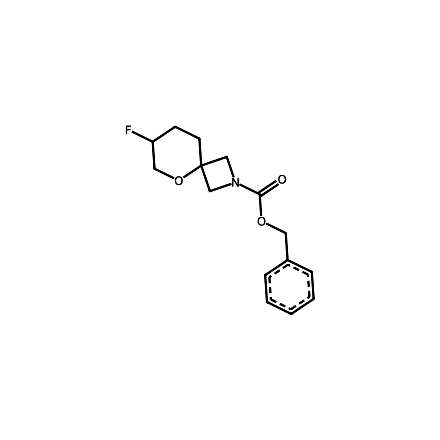 O=C(OCc1ccccc1)N1CC2(CCC(F)CO2)C1